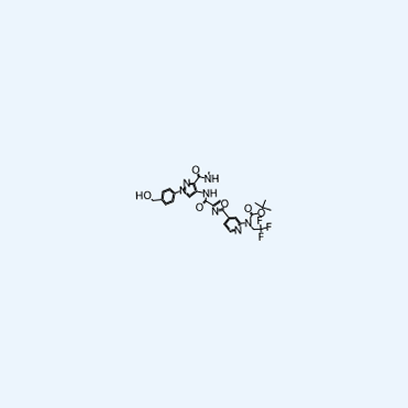 CNC(=O)c1nn(-c2ccc(CO)cc2)cc1NC(=O)c1coc(-c2ccnc(N(CC(F)(F)F)C(=O)OC(C)(C)C)c2)n1